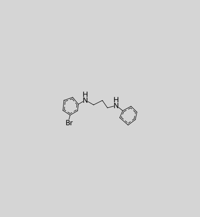 Brc1cccc(NCCCNc2ccccc2)c1